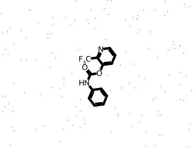 O=C(Nc1ccccc1)Oc1cccnc1C(F)(F)F